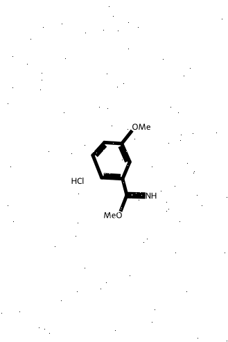 COC(=N)c1cccc(OC)c1.Cl